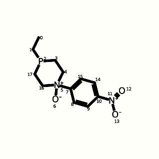 CCP1CC[N+]([O-])(c2ccc([N+](=O)[O-])cc2)CC1